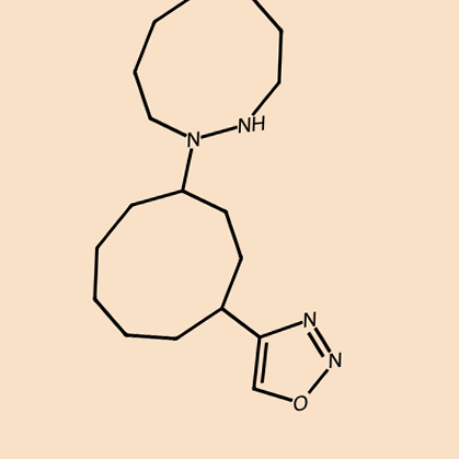 c1onnc1C1CCCCCC(N2CCCCCCCN2)CC1